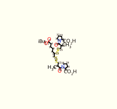 CCC(C)OC(=O)CCCCC(CSSCC(C)C(=O)N1CCCC1C(=O)O)SSCC(C)C(=O)N1CCCC1C(=O)O